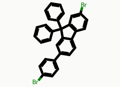 Brc1ccc(-c2ccc3c(c2)C(c2ccccc2)(c2ccccc2)c2cc(Br)ccc2-3)cc1